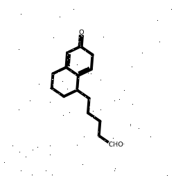 O=[C]CCCCC1CCCC2=CC(=O)CC=C21